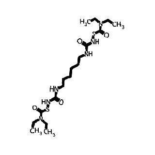 CCN(CC)C(=O)SNC(=O)NCCCCCCNC(=O)NSC(=O)N(CC)CC